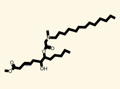 CCCCCCCCCCCCCN(C)CC(=O)OC(CCCCC)C(O)C/C=C/CC(=O)OC